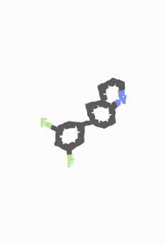 Fc1cc(F)cc(-c2ccc3ncccc3c2)c1